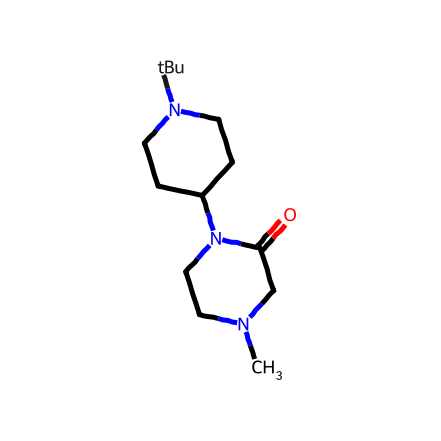 CN1CCN(C2CCN(C(C)(C)C)CC2)C(=O)C1